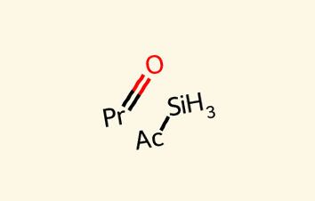 [O]=[Pr].[SiH3][Ac]